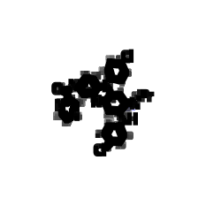 CC(C)/N=c1\cc2n(-c3ccc(Cl)cc3)c3ccccc3nc-2cc1Nc1ccc(Cl)cc1.NC(=O)c1cnccn1